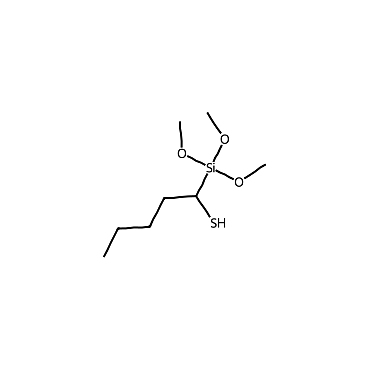 CCCCC(S)[Si](OC)(OC)OC